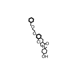 CC1(N2CCC(Cc3ccc(OCCOCc4ccccc4)cc3Cl)C2=O)CCC(O)CC1